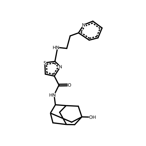 O=C(NC1C2CC3CC1CC(O)(C3)C2)c1csc(NCCc2ccccn2)n1